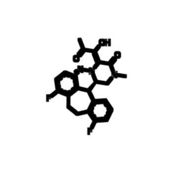 C=NN1/C(=C(/O)C(C)=O)C(=O)N(C)C[C@H]1C1c2cccc(F)c2CCc2c(F)cccc21